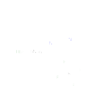 Br.CCCCCCCCCC[n+]1ccn(C)c1C.F[B-](F)(F)F